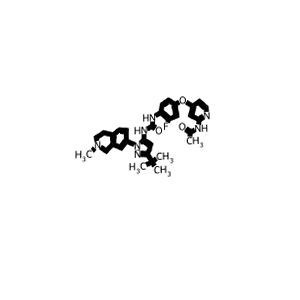 CC(=O)Nc1cc(Oc2ccc(NC(=O)Nc3cc(C(C)(C)C)nn3-c3ccc4c(c3)CN(C)CC4)c(F)c2)ccn1